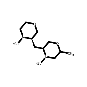 CC1CN(C(C)(C)C)C(C[C@@H]2COCCN2C(C)(C)C)CO1